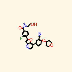 CN(CCO)C(=O)c1ccc(-c2cc3nccc(-c4ccc(OC5CCOCC5)c(C#N)c4)c3o2)c(F)c1